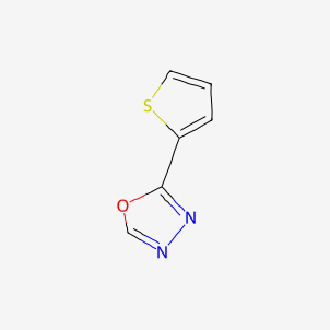 c1csc(-c2nnco2)c1